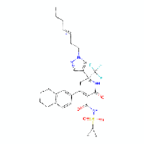 CCC/C=C/CCn1cc([C@]2(C(F)(F)F)CC(c3ccc4c(c3)CCCC4)=C(C(=O)NS(=O)(=O)C3CC3)C(=O)N2)cn1